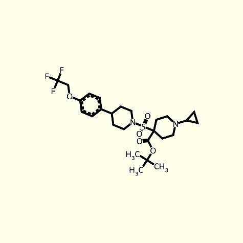 CC(C)(C)OC(=O)C1(S(=O)(=O)N2CCC(c3ccc(OCC(F)(F)F)cc3)CC2)CCN(C2CC2)CC1